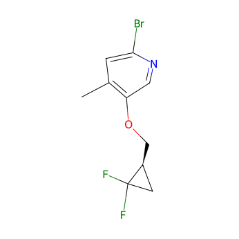 Cc1cc(Br)ncc1OC[C@H]1CC1(F)F